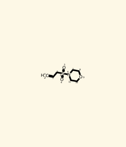 C=C[CH]S(=O)(=O)N1CCOCC1